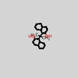 CC(C)(c1c(O)ccc2ccccc12)c1c(O)ccc2ccccc12